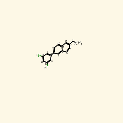 CCc1ccc2cc(-c3cc(F)cc(F)c3)ccc2c1